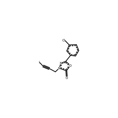 O=c1oc(-c2cccc(Cl)c2)nn1CC#CI